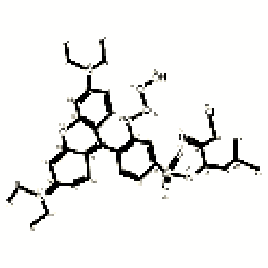 CCN(CC)c1ccc2c(-c3ccc(S(=O)(=O)NC(CC(C)C)C(=O)CCl)cc3SOOO)c3ccc(=[N+](CC)CC)cc-3oc2c1